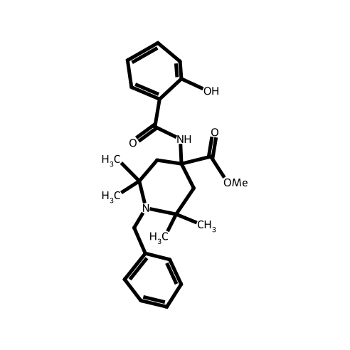 COC(=O)C1(NC(=O)c2ccccc2O)CC(C)(C)N(Cc2ccccc2)C(C)(C)C1